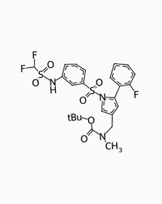 CN(Cc1cc(-c2ccccc2F)n(S(=O)(=O)c2cccc(NS(=O)(=O)C(F)F)c2)c1)C(=O)OC(C)(C)C